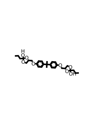 CCCC1(O)OCC(COc2ccc(C(C)(C)c3ccc(OCC4COC(O)(CCC)O4)cc3)cc2)O1